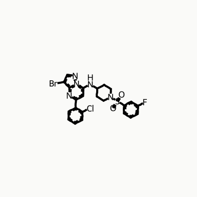 O=S(=O)(c1cccc(F)c1)N1CCC(Nc2cc(-c3ccccc3Cl)nc3c(Br)cnn23)CC1